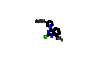 CC(=O)N[C@@H]1CCCN(c2nc(Cl)nc3c(C)cccc23)C1